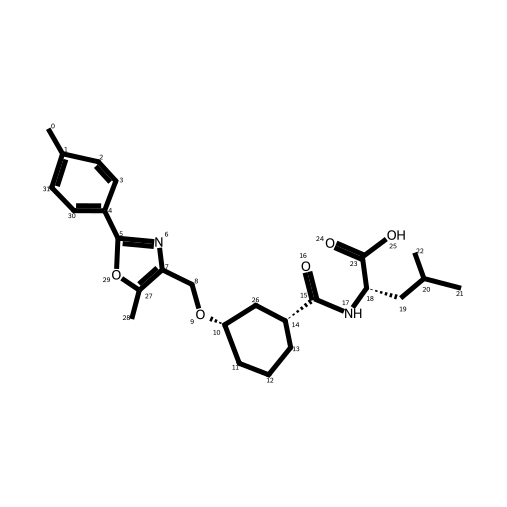 Cc1ccc(-c2nc(CO[C@H]3CCC[C@@H](C(=O)N[C@@H](CC(C)C)C(=O)O)C3)c(C)o2)cc1